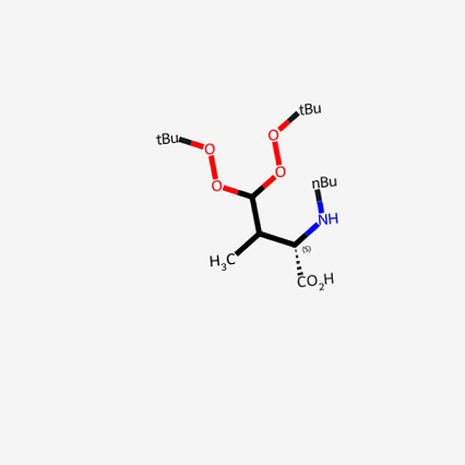 CCCCN[C@H](C(=O)O)C(C)C(OOC(C)(C)C)OOC(C)(C)C